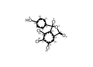 O=C1OC(Cl)(c2ccc(O)cc2)c2c1cc(Cl)c(Cl)c2Cl